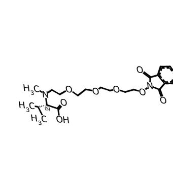 CC(C)[C@@H](C(=O)O)N(C)CCOCCOCCOCCON1C(=O)c2ccccc2C1=O